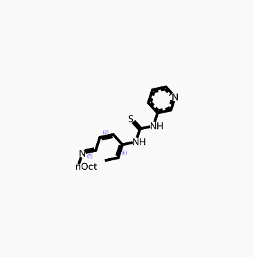 C\C=C(/C=C\C=N\CCCCCCCC)NC(=S)Nc1cccnc1